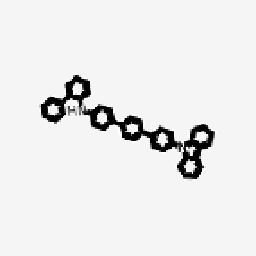 c1ccc(-c2ccccc2Nc2ccc(-c3ccc(-c4ccc(-n5c6ccccc6c6ccccc65)cc4)cc3)cc2)cc1